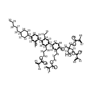 C=C(C)C(=O)OCCCc1cc(-c2cc(CC)c(-c3ccc(C4CCC(CCCCC)CC4)cc3F)cc2CCCOC(=O)C(=C)C)ccc1OCC(CS)(COC(=O)C(=C)C)COC(=O)C(=C)C